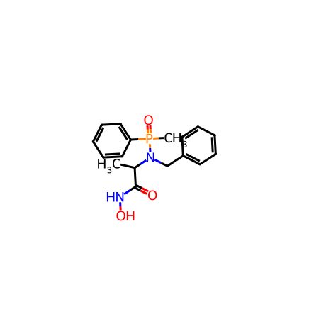 CC(C(=O)NO)N(Cc1ccccc1)P(C)(=O)c1ccccc1